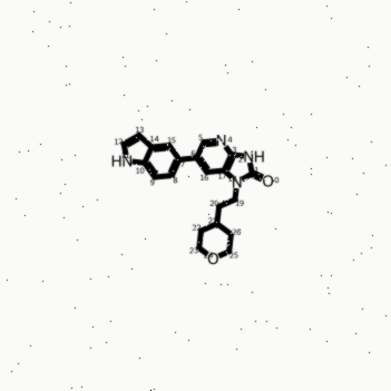 O=c1[nH]c2ncc(-c3ccc4[nH]ccc4c3)cc2n1CCC1CCOCC1